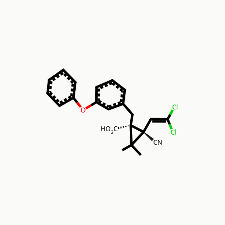 CC1(C)[C@](Cc2cccc(Oc3ccccc3)c2)(C(=O)O)[C@]1(C#N)C=C(Cl)Cl